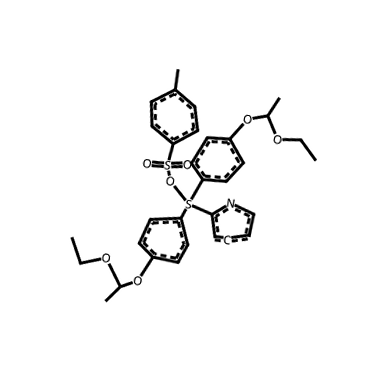 CCOC(C)Oc1ccc(S(OS(=O)(=O)c2ccc(C)cc2)(c2ccc(OC(C)OCC)cc2)c2ccccn2)cc1